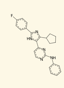 Fc1ccc(-c2nc(C3CCCC3)c(-c3ccnc(Nc4ccccc4)n3)[nH]2)cc1